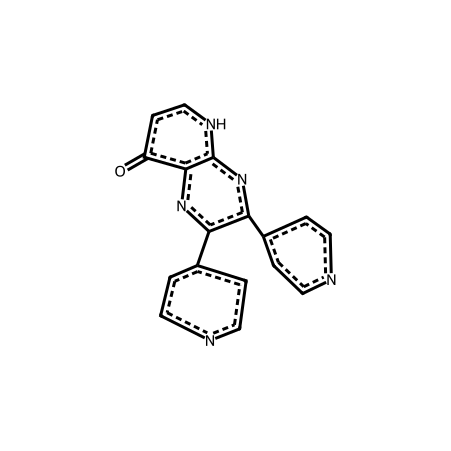 O=c1cc[nH]c2nc(-c3ccncc3)c(-c3ccncc3)nc12